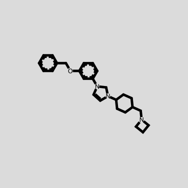 C1=CN(C2CCC(CN3CCC3)CC2)CN1c1cccc(OCc2ccccc2)c1